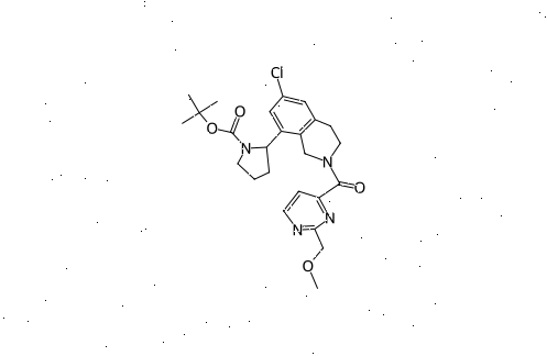 COCc1nccc(C(=O)N2CCc3cc(Cl)cc(C4CCCN4C(=O)OC(C)(C)C)c3C2)n1